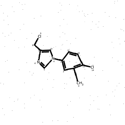 Cc1cc(-n2cnc(CCl)c2)ccc1Cl